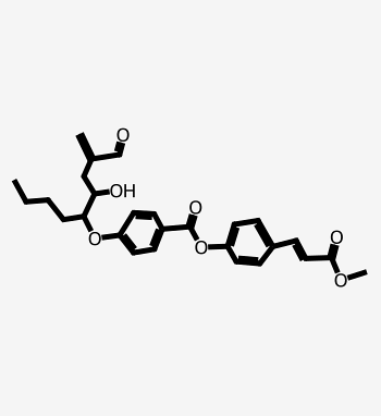 C=C(C=O)CC(O)C(CCCC)Oc1ccc(C(=O)Oc2ccc(/C=C/C(=O)OC)cc2)cc1